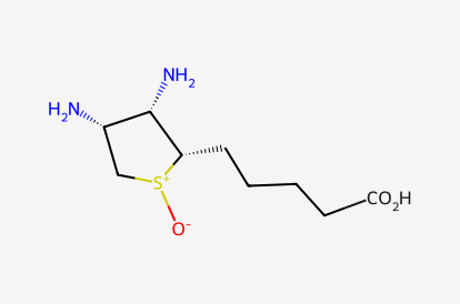 N[C@H]1[C@@H](N)C[S+]([O-])[C@H]1CCCCC(=O)O